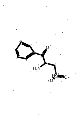 NC(C[SH](=O)=O)C(=O)c1ccccc1